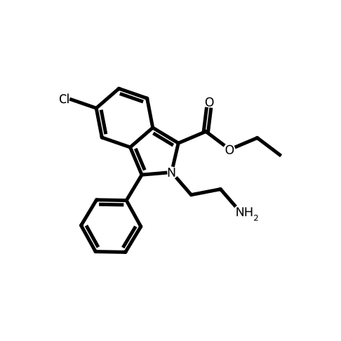 CCOC(=O)c1c2ccc(Cl)cc2c(-c2ccccc2)n1CCN